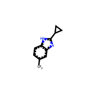 FC(F)(F)c1ccc2[nH]c(C3CC3)nc2c1